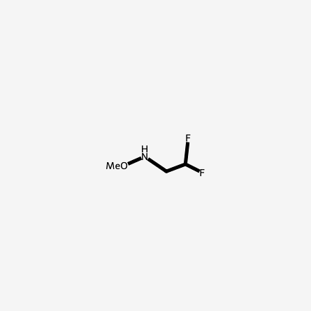 CONCC(F)F